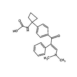 CN(C)/C=C(/C(=O)c1ccc(C2(NC(=O)O)CCC2)cc1)c1ccccc1